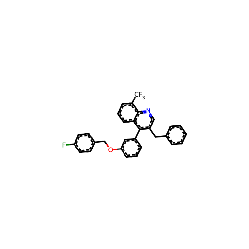 Fc1ccc(COc2cccc(-c3c(Cc4ccccc4)cnc4c(C(F)(F)F)cccc34)c2)cc1